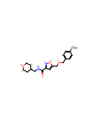 COc1ccc(COCc2cc(C(=O)NCC3CCOCC3)no2)cc1